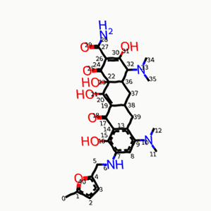 Cc1ccc(CNc2cc(N(C)C)c3c(c2O)C(=O)C2=C(O)C4(O)C(=O)C(C(N)=O)=C(O)C(N(C)C)C4CC2C3)o1